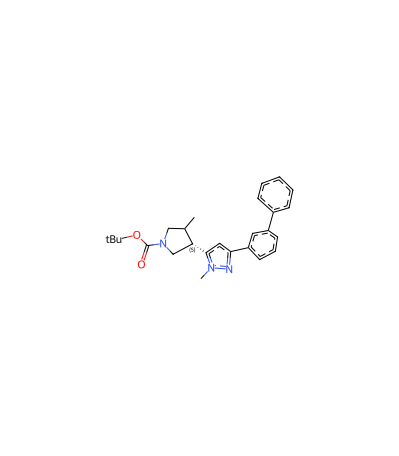 CC1CN(C(=O)OC(C)(C)C)C[C@H]1c1cc(-c2cccc(-c3ccccc3)c2)nn1C